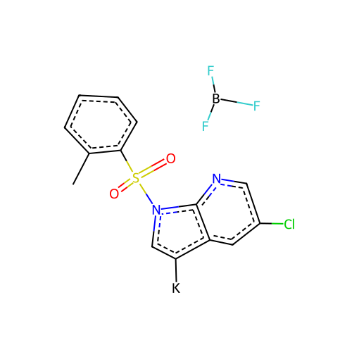 Cc1ccccc1S(=O)(=O)n1c[c]([K])c2cc(Cl)cnc21.FB(F)F